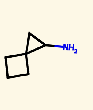 NC1CC12CCC2